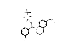 CC(C)(C)[Si](C)(C)OCC(c1cccc(Cl)c1)N1CCCc2cc(CN)ccc21